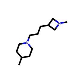 CC1CCN(CCCC2CN(C)C2)CC1